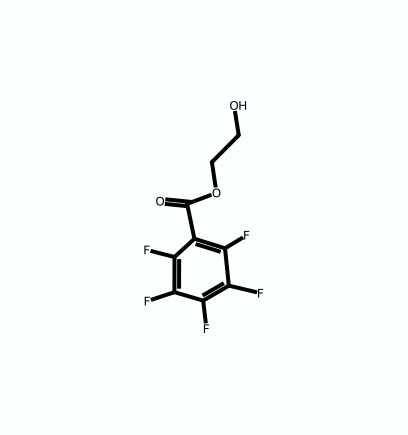 O=C(OCCO)c1c(F)c(F)c(F)c(F)c1F